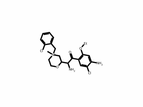 CCOc1cc(N)c(Cl)cc1C(=O)C(N)C1C[N+](C)(Cc2ccccc2Cl)CCO1